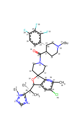 CCn1ncnc1[C@@](C)(CC)C1OC2(CCN(C(=O)C3CCN(C(C)(C)C)C[C@H]3c3ccc(F)c(F)c3F)CC2)c2nc(C)c(Cl)cc21